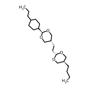 CCCC[C@H]1CO[C@H](CC[C@H]2CO[C@H](C3CCC(CCC)CC3)OC2)OC1